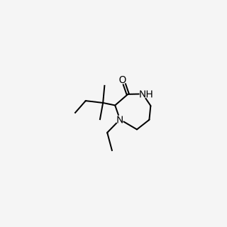 CCN1CCCNC(=O)C1C(C)(C)CC